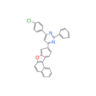 Clc1ccc(-c2cc(-c3ccc4c(c3)oc3ccc5ccccc5c34)nc(-c3ccccc3)n2)cc1